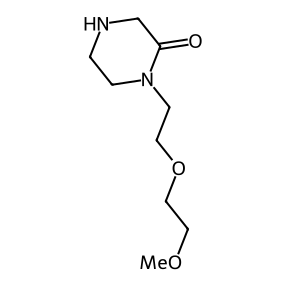 COCCOCCN1CCNCC1=O